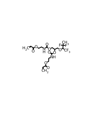 C=CC(=O)OCCNC(=O)OCC(COC(C(C)(F)F)C(F)(F)F)OC(=O)NCCOC(=O)C=C